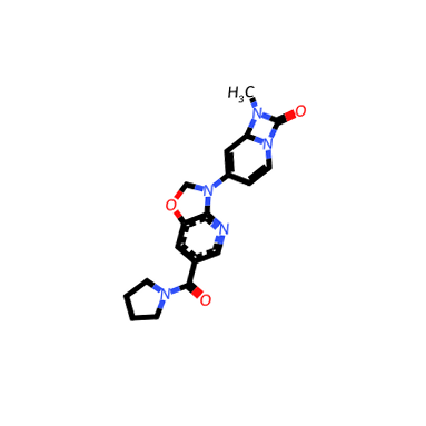 CN1C(=O)N2C=CC(N3COc4cc(C(=O)N5CCCC5)cnc43)=CC12